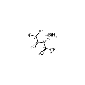 O=C(C(F)F)C(F)C(=O)C(F)(F)F.[BiH3]